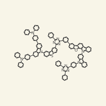 c1ccc(-c2nc(-c3ccccc3)nc(-c3ccc(-n4c5ccccc5c5cc(-n6c7ccccc7c7ccc8c9cc(-c%10cccc(-c%11nc(-c%12ccccc%12)nc(-c%12ccc%13sc%14ccc(-n%15c%16ccc(-c%17ccc(N(c%18ccccc%18)c%18ccccc%18)cc%17)cc%16c%16cc(-c%17ccc(N(c%18ccccc%18)c%18ccccc%18)cc%17)ccc%16%15)cc%14c%13c%12)n%11)c%10)ccc9oc8c76)ccc54)cc3)n2)cc1